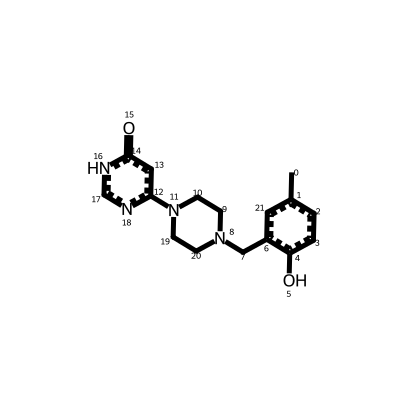 Cc1ccc(O)c(CN2CCN(c3cc(=O)[nH]cn3)CC2)c1